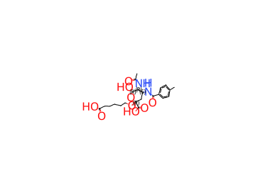 CC(=O)N[C@@H]1[C@@H](NC(=O)c2ccc(C)cc2)C[C@](OCCCCCC(=O)O)(C(=O)O)O[C@H]1O